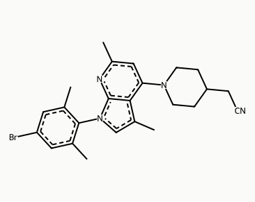 Cc1cc(N2CCC(CC#N)CC2)c2c(C)cn(-c3c(C)cc(Br)cc3C)c2n1